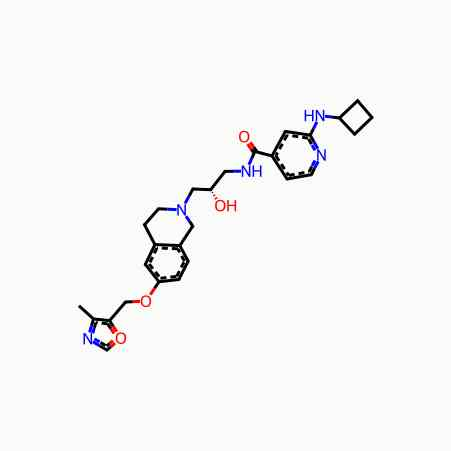 Cc1ncoc1COc1ccc2c(c1)CCN(C[C@@H](O)CNC(=O)c1ccnc(NC3CCC3)c1)C2